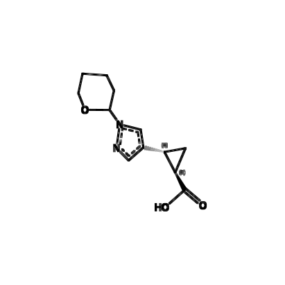 O=C(O)[C@@H]1C[C@H]1c1cnn(C2CCCCO2)c1